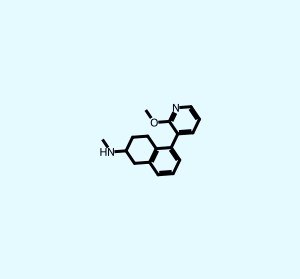 CNC1CCc2c(cccc2-c2cccnc2OC)C1